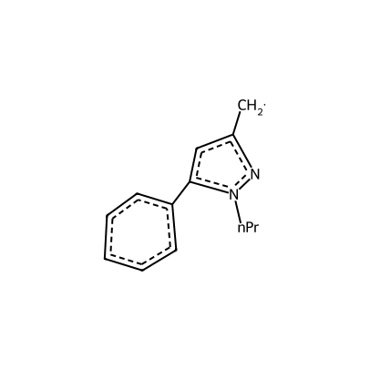 [CH2]c1cc(-c2ccccc2)n(CCC)n1